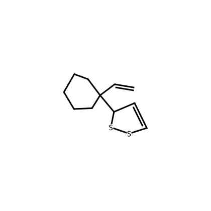 C=CC1(C2C=CSS2)CCCCC1